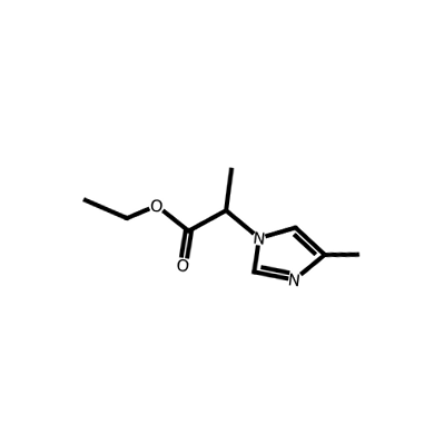 CCOC(=O)C(C)n1cnc(C)c1